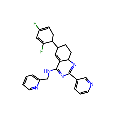 FC1=CCC(C2C=C3C(NCc4ccccn4)=NC(c4cccnc4)=NC3CC2)C(F)=C1